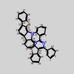 c1ccc(-c2nc(-c3ccccc3-n3c4ccccc4c4ccc5c6ccccc6sc5c43)nc3sc4ccccc4c23)cc1